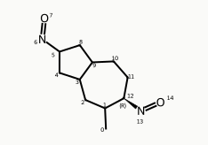 CC1CC2CC(N=O)CC2CC[C@H]1N=O